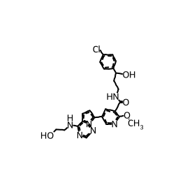 COc1ncc(-c2ccc3c(NCCO)ncnn23)cc1C(=O)NCCC(O)c1ccc(Cl)cc1